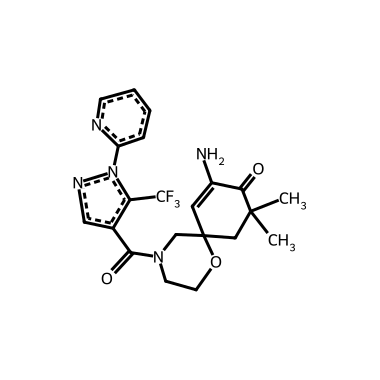 CC1(C)CC2(C=C(N)C1=O)CN(C(=O)c1cnn(-c3ccccn3)c1C(F)(F)F)CCO2